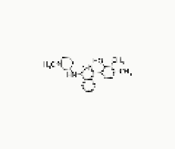 Cc1ccc(-c2nnc(N[C@@H]3CCCN(C)C3)c3ccccc23)c(O)c1C